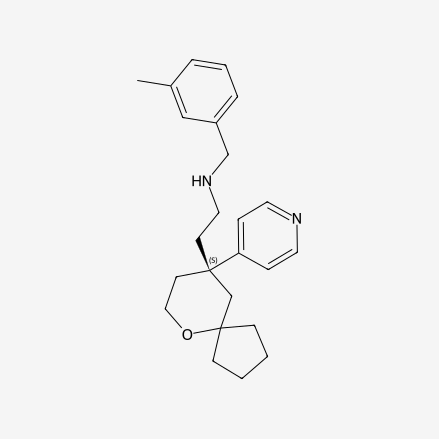 Cc1cccc(CNCC[C@]2(c3ccncc3)CCOC3(CCCC3)C2)c1